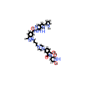 Cc1nn(CCCCN2CCN(c3ccc4c(c3)C(=O)N(C3CCC(=O)NC3=O)C4=O)CC2)c2cc(C(=O)Nc3cc4[nH]c([C@H]5CCCN5C)cc4cn3)ccc12